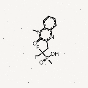 Cn1c(=O)c(CC(F)(F)P(C)(=O)O)nc2ccccc21